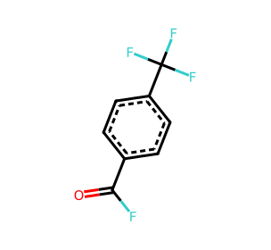 O=C(F)c1ccc(C(F)(F)F)cc1